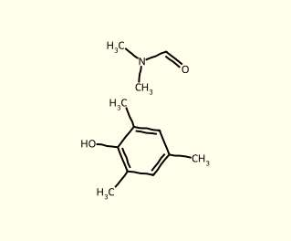 CN(C)C=O.Cc1cc(C)c(O)c(C)c1